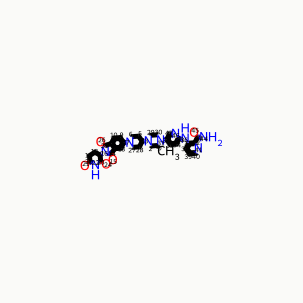 C[C@H]1CN(C2CCN(c3ccc4c(c3)C(=O)N(C3CCC(=O)NC3=O)C4=O)CC2)CCN1c1ccc(Nc2cccnc2C(N)=O)nc1